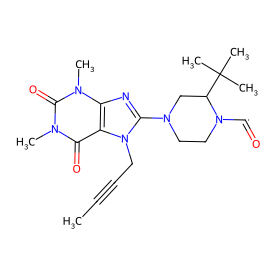 CC#CCn1c(N2CCN([C]=O)C(C(C)(C)C)C2)nc2c1c(=O)n(C)c(=O)n2C